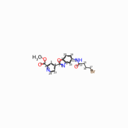 COC(=O)c1cc(-c2nc3cc(NC(=O)CCCBr)ccc3o2)ccn1